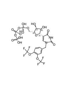 O=c1[nH]c(=O)n(Cc2ccc(OC(F)(F)F)c(OC(F)(F)F)c2)cc1[C@@H]1O[C@H](COP(=O)(O)OP(=O)(O)OP(=O)(O)O)[C@@H](O)[C@H]1O